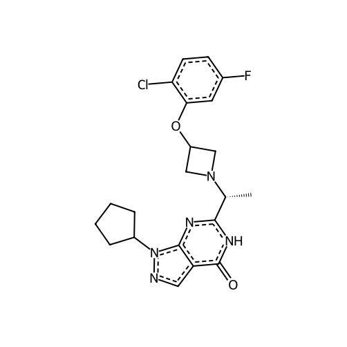 C[C@H](c1nc2c(cnn2C2CCCC2)c(=O)[nH]1)N1CC(Oc2cc(F)ccc2Cl)C1